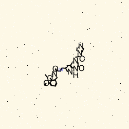 CCOc1c(CN(C)C(=O)/C=C/c2cnc3c(c2)CN(CC(=O)N2CCN(C)CC2)CC(=O)N3)cccc1OC